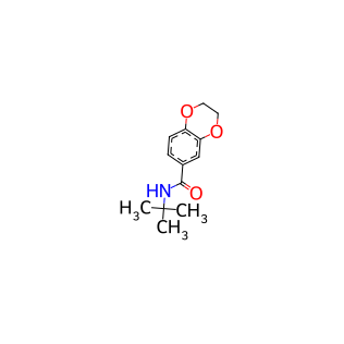 CC(C)(C)NC(=O)c1ccc2c(c1)OCCO2